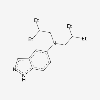 CCC(CC)CN(CC(CC)CC)c1ccc2[nH]ncc2c1